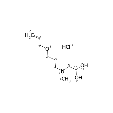 C=CCOCCCN(C)CC(O)O.Cl